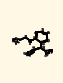 CCOc1ccccc1C(O)C#N